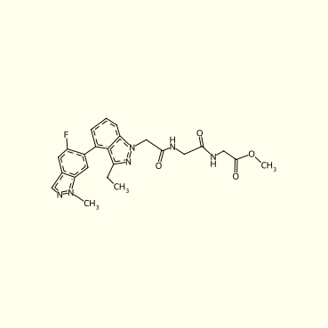 CCc1nn(CC(=O)NCC(=O)NCC(=O)OC)c2cccc(-c3cc4c(cnn4C)cc3F)c12